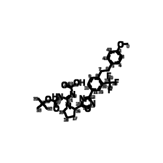 COc1ccc(CCc2ccc(-c3noc(C4CCCN4C(=NC(=O)O)NC(=O)OC(C)(C)C)n3)cc2C(F)(F)F)cc1